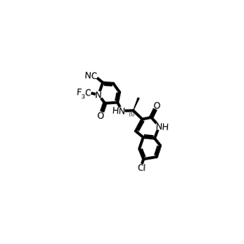 C[C@H](Nc1ccc(C#N)n(C(F)(F)F)c1=O)c1cc2cc(Cl)ccc2[nH]c1=O